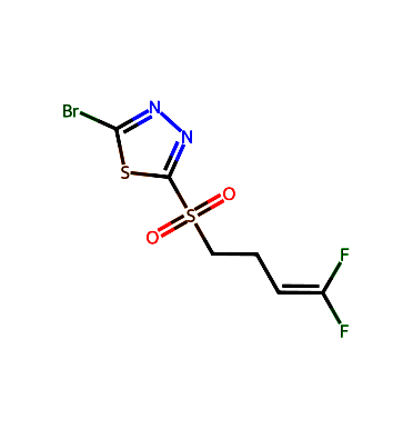 O=S(=O)(CCC=C(F)F)c1nnc(Br)s1